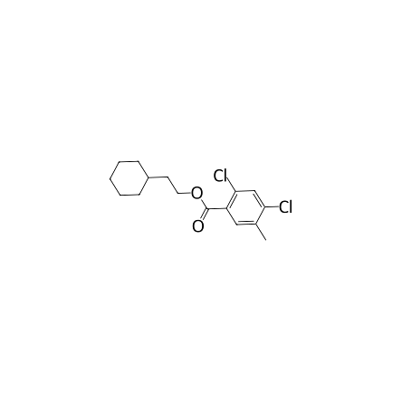 Cc1cc(C(=O)OCCC2CCCCC2)c(Cl)cc1Cl